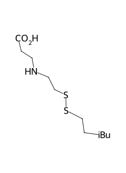 CCC(C)CCSSCCNCCC(=O)O